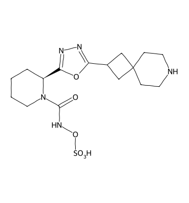 O=C(NOS(=O)(=O)O)N1CCCC[C@H]1c1nnc(C2CC3(CCNCC3)C2)o1